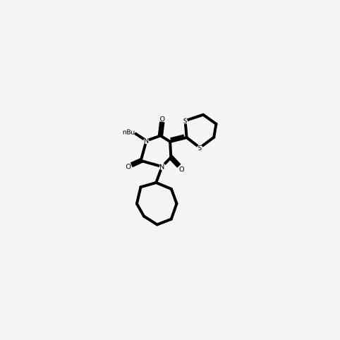 CCCCN1C(=O)C(=C2SCCCS2)C(=O)N(C2CCCCCCC2)C1=O